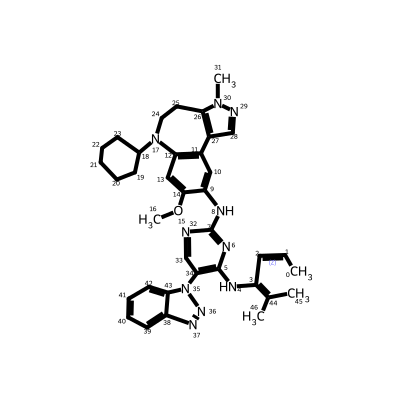 C/C=C\C(Nc1nc(Nc2cc3c(cc2OC)N(C2CCCCC2)CCc2c-3cnn2C)ncc1-n1nnc2ccccc21)=C(C)C